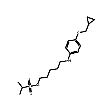 CC(C)S(=O)(=O)NCCCCCNc1ccc(OCC2CC2)cc1